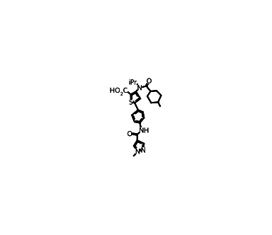 CC1CCC(C(=O)N(c2cc(-c3ccc(NC(=O)c4cnn(C)c4)cc3)sc2C(=O)O)C(C)C)CC1